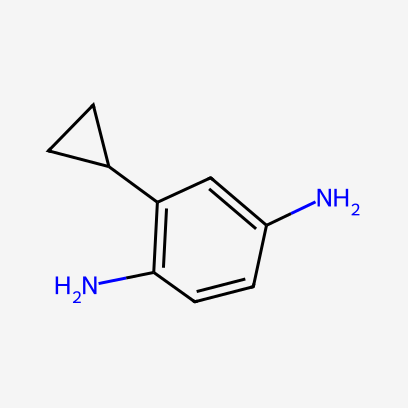 Nc1ccc(N)c(C2CC2)c1